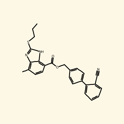 CCCSc1nc2c(C)ccc(C(=O)OCc3ccc(-c4ccccc4C#N)cc3)c2[nH]1